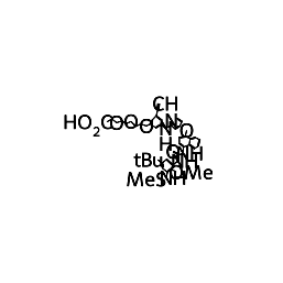 C#Cc1cc(Nc2cc(Oc3ccc(NC(=O)Nc4cc(C(C)(C)C)cc(NSC)c4OC)c4ccccc34)ccn2)cc(OCCOCCOCC(=O)O)c1